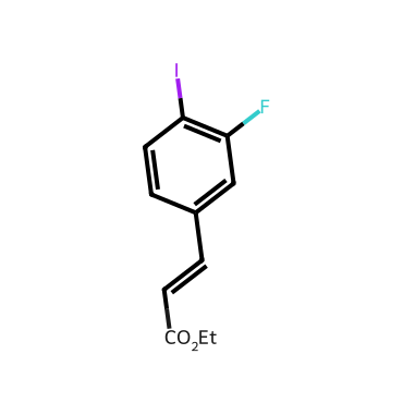 CCOC(=O)/C=C/c1ccc(I)c(F)c1